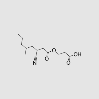 CCCC(C)CC(C#N)CC(=O)OCCC(=O)O